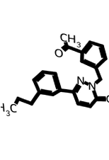 CCCc1cccc(-c2ccc(=O)n(Cc3cccc(C(C)=O)c3)n2)c1